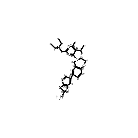 CCN(CC)Cc1nc(C)c(C(C)C)c(N2CCOc3ccc(-c4cnc5sc(N)nc5c4)cc3C2)n1